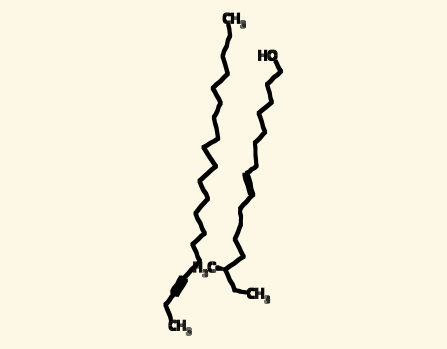 CCC#CCCCCCCCCCCCCCCCC.CC[C@@H](C)CCCCC=CCCCCCCCO